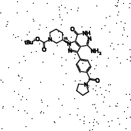 CC(C)(C)OC(=O)N1CCC[C@@H](n2nc(-c3ccc(C(=O)N4CCCC4)cc3)c3c(N)n[nH]c(=O)c32)C1